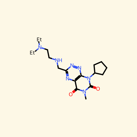 CCN(CC)CCNCc1nnc2c(n1)c(=O)n(C)c(=O)n2C1CCCC1